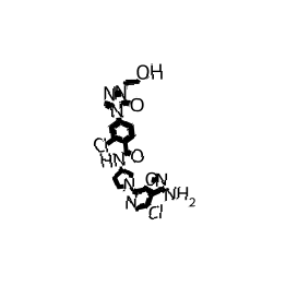 Nc1noc2c(N3CC[C@@H](NC(=O)c4ccc(-n5cnn(CCO)c5=O)cc4Cl)C3)ncc(Cl)c12